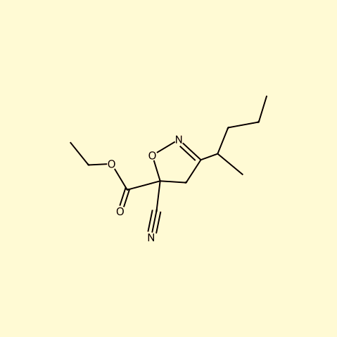 CCCC(C)C1=NOC(C#N)(C(=O)OCC)C1